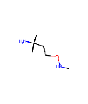 CNOCCC(C)(C)N